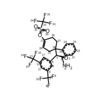 NC(=O)C(c1cc(C(F)(F)F)cc(C(F)(F)F)c1)C1(c2ccccc2)CC=C(OS(=O)(=O)C(F)(F)F)CC1